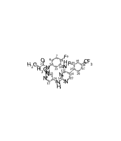 C=CC(=O)Nc1ccc(F)c(Nc2nc(Nc3cnn(C)c3)ncc2-c2ccc(C(F)(F)F)cc2F)c1